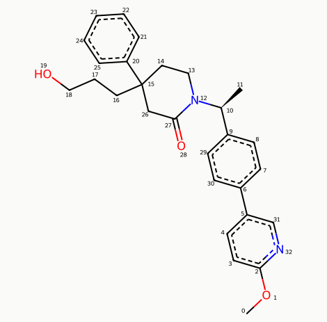 COc1ccc(-c2ccc([C@H](C)N3CCC(CCCO)(c4ccccc4)CC3=O)cc2)cn1